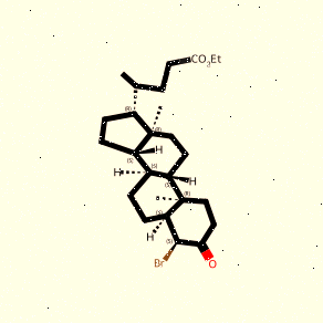 CCOC(=O)CCC(C)[C@H]1CC[C@H]2[C@@H]3CC[C@@H]4[C@H](Br)C(=O)CC[C@]4(C)[C@H]3CC[C@]12C